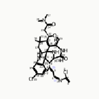 C=C(Cl)/N=C\C=C(/F)[C@H]1[C@H]2NC3(CCC(C)(C)C4=C3[C@H](CO[C@@H]4CC(=O)N(C)C)NC2=O)[C@@]12C(=O)Nc1cc(Cl)ccc12